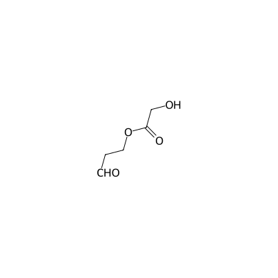 O=CCCOC(=O)CO